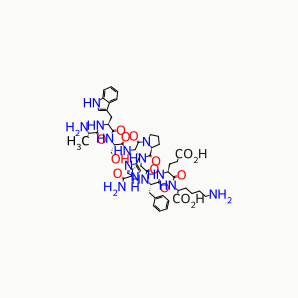 C[C@H](N)C(=O)N[C@@H](Cc1c[nH]c2ccccc12)C(=O)N[C@@H](CO)C(=O)N[C@@H](Cc1c[nH]cn1)C(=O)N1CCC[C@H]1C(=O)N[C@@H](CCC(N)=O)C(=O)N[C@@H](Cc1ccccc1)C(=O)N[C@@H](CCC(=O)O)C(=O)N[C@@H](CCCCN)C(=O)O